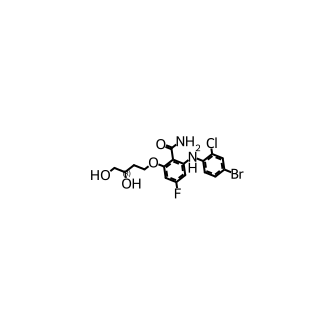 NC(=O)c1c(Nc2ccc(Br)cc2Cl)cc(F)cc1OCC[C@@H](O)CO